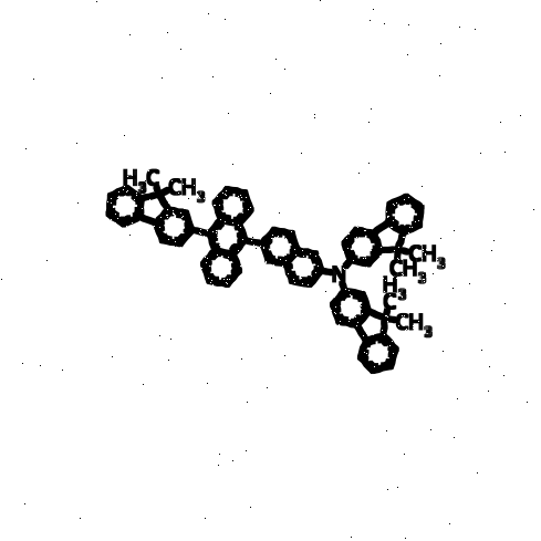 CC1(C)c2ccccc2-c2ccc(-c3c4ccccc4c(-c4ccc5cc(N(c6ccc7c(c6)C(C)(C)c6ccccc6-7)c6ccc7c(c6)C(C)(C)c6ccccc6-7)ccc5c4)c4ccccc34)cc21